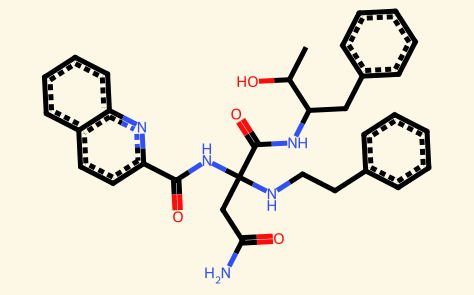 CC(O)C(Cc1ccccc1)NC(=O)C(CC(N)=O)(NCCc1ccccc1)NC(=O)c1ccc2ccccc2n1